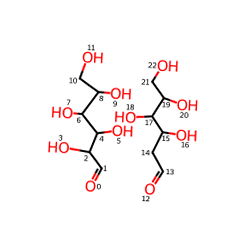 O=CC(O)C(O)C(O)C(O)CO.O=CCC(O)C(O)C(O)CO